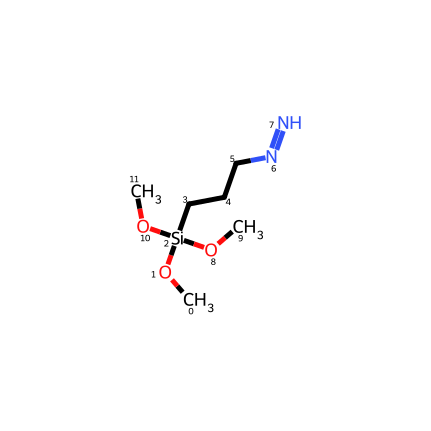 CO[Si](CCCN=N)(OC)OC